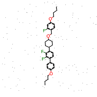 CCCCOc1ccc(-c2ccc(C3CCC(OCc4ccc(OCCCC)cc4F)CC3)c(F)c2F)cc1